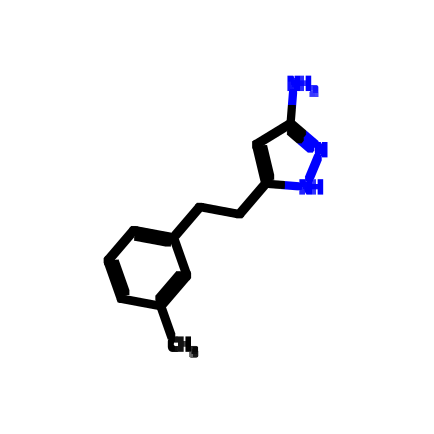 Cc1cccc(CCc2cc(N)n[nH]2)c1